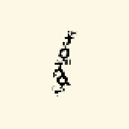 Cc1cc2cc(C(=O)N[C@H]3CC[C@H](OCC(C)(C)O)CC3)cnc2cc1OC(F)F